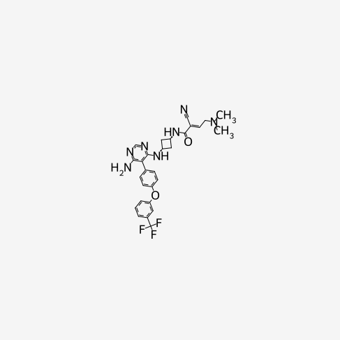 CN(C)C/C=C(\C#N)C(=O)N[C@H]1C[C@@H](Nc2ncnc(N)c2-c2ccc(Oc3cccc(C(F)(F)F)c3)cc2)C1